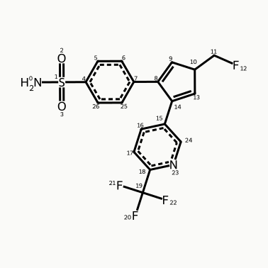 NS(=O)(=O)c1ccc(C2=CC(CF)C=C2c2ccc(C(F)(F)F)nc2)cc1